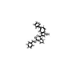 O=C(c1c[nH]c2ccc(-c3cccs3)cc12)[C@H]1CCCN1C(=O)OCc1ccccc1